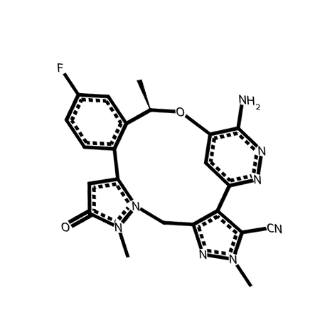 C[C@H]1Oc2cc(nnc2N)-c2c(nn(C)c2C#N)Cn2c(cc(=O)n2C)-c2ccc(F)cc21